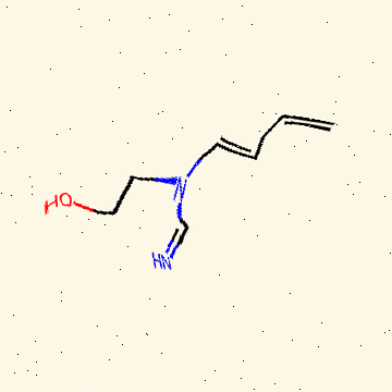 C=C/C=C/N(C=N)CCO